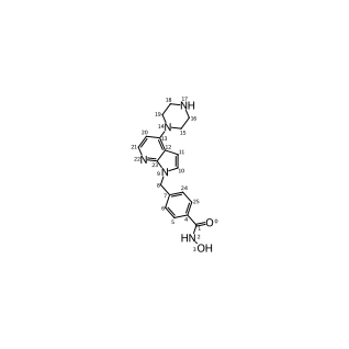 O=C(NO)c1ccc(Cn2ccc3c(N4CCNCC4)ccnc32)cc1